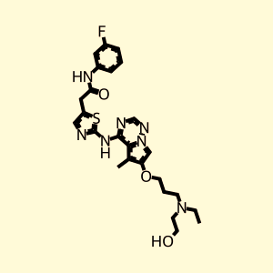 CCN(CCO)CCCOc1cn2ncnc(Nc3ncc(CC(=O)Nc4cccc(F)c4)s3)c2c1C